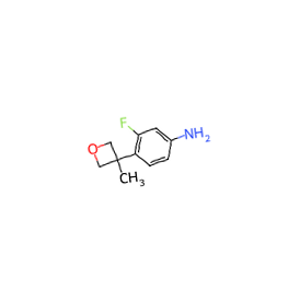 CC1(c2ccc(N)cc2F)COC1